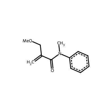 C=C(COC)C(=O)N(C)c1ccccc1